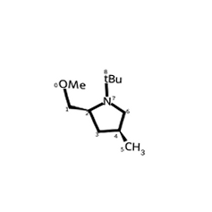 COC[C@@H]1C[C@H](C)CN1C(C)(C)C